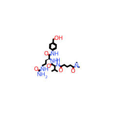 CC(C)[C@H](NC(=O)CCCC(=O)N(C)C)C(=O)N[C@@H](CCCNC(N)=O)C(=O)Nc1ccc(CO)cc1